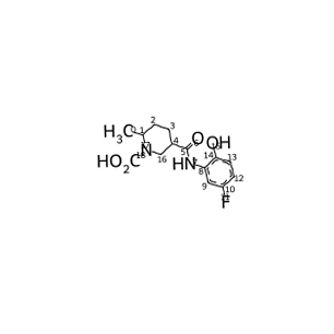 CC1CCC(C(=O)Nc2cc(F)ccc2O)CN1C(=O)O